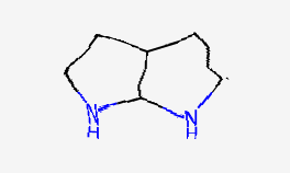 [CH]1CC2CCNC2N1